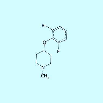 CN1CCC(Oc2c(F)cccc2Br)CC1